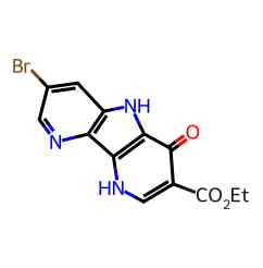 CCOC(=O)c1c[nH]c2c([nH]c3cc(Br)cnc32)c1=O